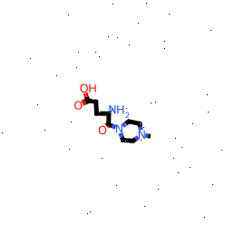 CN1CCN(C(=O)[C@@H](N)CCC(=O)O)CC1